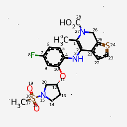 CC1=C(Nc2ccc(F)cc2O[C@@H]2CCN(S(C)(=O)=O)C2)c2ccsc2CN1C(=O)O